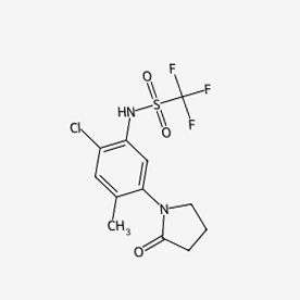 Cc1cc(Cl)c(NS(=O)(=O)C(F)(F)F)cc1N1CCCC1=O